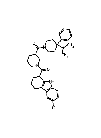 CN(C)C1(c2ccccc2)CCN(C(=O)C2CCCN(C(=O)C3CCCc4c3[nH]c3ccc(Cl)cc43)C2)CC1